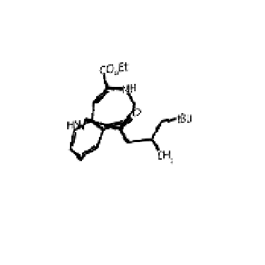 CCOC(=O)C1=CC23C(=CCN1)C=CC=C2NCC3C(=O)CC(C)CC(C)(C)C